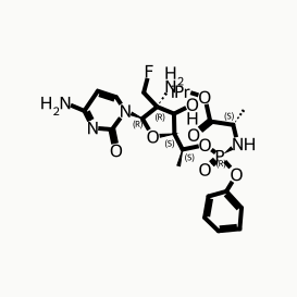 CC(C)OC(=O)[C@H](C)N[P@](=O)(Oc1ccccc1)O[C@@H](C)[C@H]1O[C@@H](n2ccc(N)nc2=O)[C@@](N)(CF)C1O